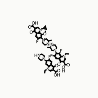 CCn1cc(C(=O)O)c(=O)c2cc(F)c(N3CCNC(C)C3)c(F)c21.CCn1cc(C(=O)O)c(=O)c2cc(F)c(N3CCNCC3)cc21.COc1c(N2CCNC(C)C2)c(F)cc2c(=O)c(C(=O)O)cn(C3CC3)c12